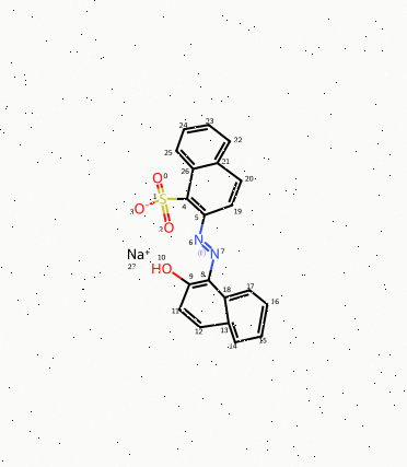 O=S(=O)([O-])c1c(/N=N/c2c(O)ccc3ccccc23)ccc2ccccc12.[Na+]